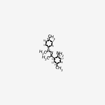 C/C(=N\N(C)c1ccc(C)cc1)c1cc(C)ccc1N